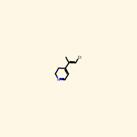 CC/C=C(\C)C1=CC=NCC1